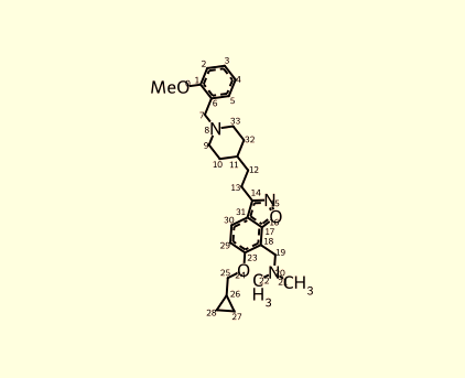 COc1ccccc1CN1CCC(CCc2noc3c(CN(C)C)c(OCC4CC4)ccc23)CC1